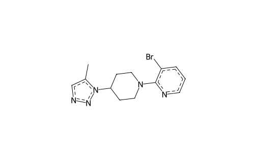 Cc1cnnn1C1CCN(c2ncccc2Br)CC1